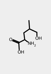 CC(CO)CC(N)C(=O)O